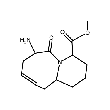 COC(=O)C1CCCC2C/C=C\CC(N)C(=O)N21